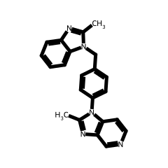 Cc1nc2ccccc2n1Cc1ccc(-n2c(C)nc3cnccc32)cc1